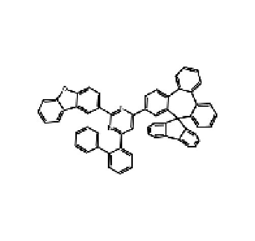 c1ccc(-c2ccccc2-c2cc(-c3ccc4c(c3)C3(c5ccccc5-c5ccccc5-4)c4ccccc4-c4ccccc43)nc(-c3ccc4oc5ccccc5c4c3)n2)cc1